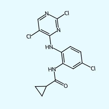 O=C(Nc1cc(Cl)ccc1Nc1nc(Cl)ncc1Cl)C1CC1